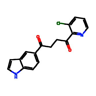 O=C(CCC(=O)c1ncccc1Cl)c1ccc2[nH]ccc2c1